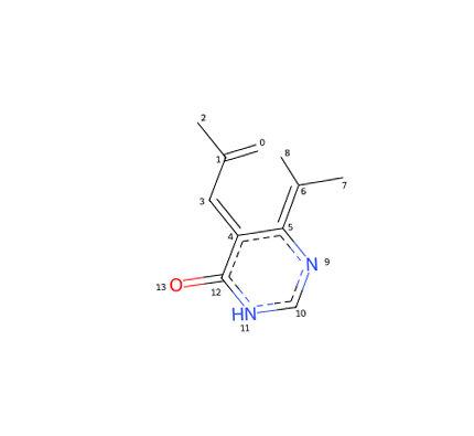 C=C(C)/C=c1\c(=C(C)C)nc[nH]c1=O